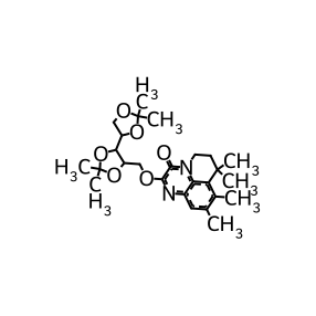 Cc1cc2nc(OCC3OC(C)(C)OC3C3COC(C)(C)O3)c(=O)n3c2c(c1C)C(C)(C)CC3